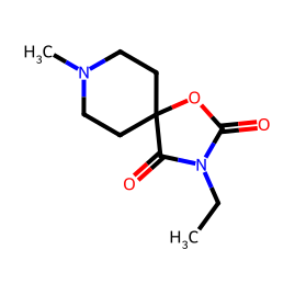 CCN1C(=O)OC2(CCN(C)CC2)C1=O